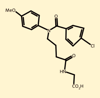 COc1ccc(N(CCCC(=O)NCC(=O)O)C(=O)c2ccc(Cl)cc2)cc1